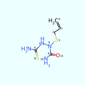 C=CCSN(NC(N)=S)C(N)=O